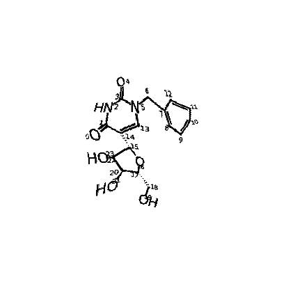 O=c1[nH]c(=O)n(Cc2ccccc2)cc1[C@@H]1O[C@H](CO)[C@@H](O)[C@H]1O